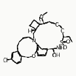 CC[C@@H]1CCCC[C@H](OC)[C@@H]2CC[C@H]2CN2CCCCc3cc(Cl)ccc3COc3ccc(cc32)C(O)NS1(=O)=O